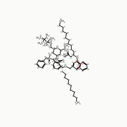 CCCCCCCCCCC[C@H](CC(=O)N[C@@H]1[C@@H](NC(=O)C[C@@H](CCCCCCCCCCC)OCc2ccccc2)[C@H](OC)O[C@H](CO[Si](C)(C)C(C)(C)C)[C@H]1OP(=O)(Cc1ccccc1)Cc1ccccc1)OCc1ccccc1